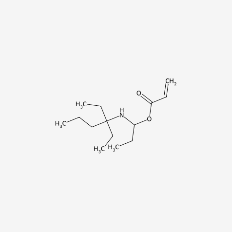 C=CC(=O)OC(CC)NC(CC)(CC)CCC